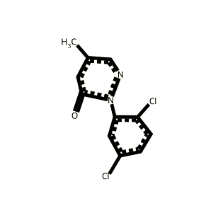 Cc1cnn(-c2cc(Cl)ccc2Cl)c(=O)c1